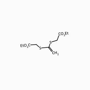 C=C(SCC(=O)OCC)SCC(=O)OCC